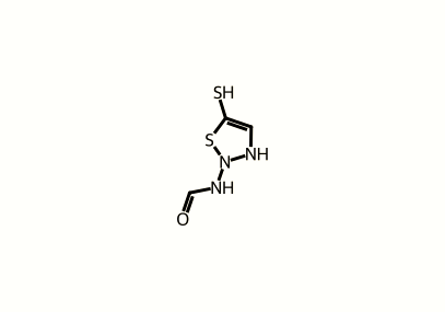 O=CNN1NC=C(S)S1